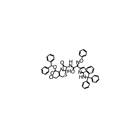 O=C(N[C@@H]1C(=O)N2C(C(=O)OC(c3ccccc3)c3ccccc3)=C(CCl)CS[C@@H]12)C(=NOc1ccccc1)c1csc(NC(c2ccccc2)(c2ccccc2)c2ccccc2)n1